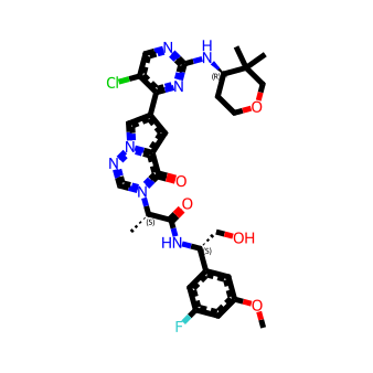 COc1cc(F)cc([C@@H](CO)NC(=O)[C@H](C)n2cnn3cc(-c4nc(N[C@@H]5CCOCC5(C)C)ncc4Cl)cc3c2=O)c1